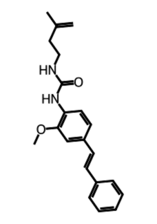 C=C(C)CCNC(=O)Nc1ccc(/C=C/c2ccccc2)cc1OC